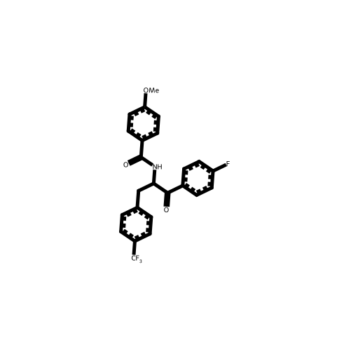 COc1ccc(C(=O)NC(Cc2ccc(C(F)(F)F)cc2)C(=O)c2ccc(F)cc2)cc1